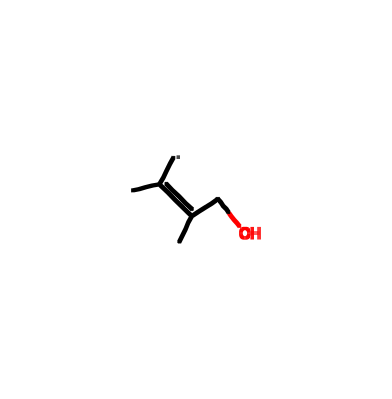 [CH2]C(C)=C(C)CO